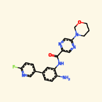 Nc1ccc(-c2ccc(F)nc2)cc1NC(=O)c1cnc(N2CCCOC2)cn1